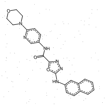 O=C(Nc1ccc(N2CCOCC2)nc1)c1nnc(Nc2ccc3ccccc3c2)o1